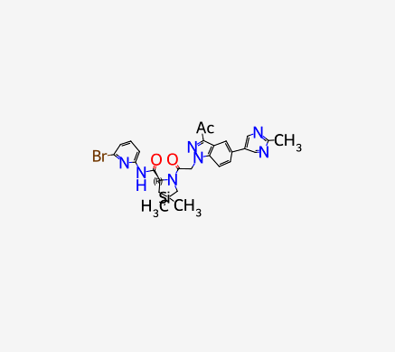 CC(=O)c1nn(CC(=O)N2C[Si](C)(C)C[C@H]2C(=O)Nc2cccc(Br)n2)c2ccc(-c3cnc(C)nc3)cc12